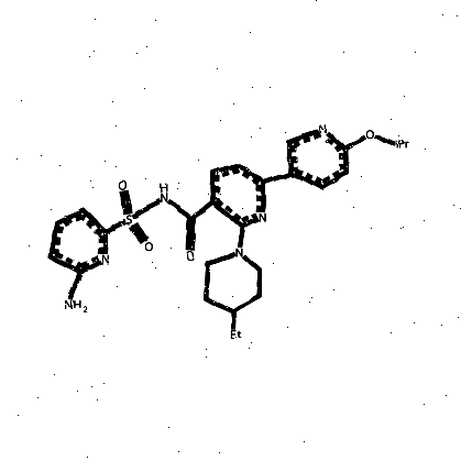 CCC1CCN(c2nc(-c3ccc(OC(C)C)nc3)ccc2C(=O)NS(=O)(=O)c2cccc(N)n2)CC1